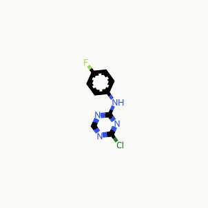 Fc1ccc(Nc2ncnc(Cl)n2)cc1